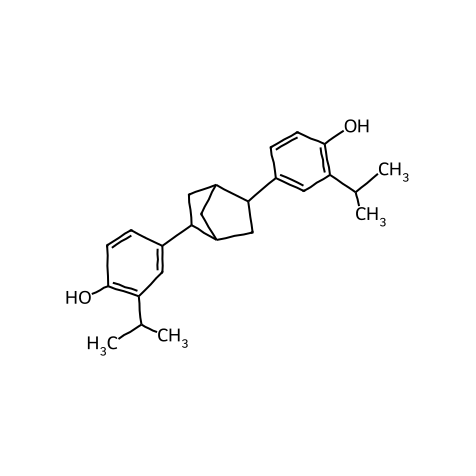 CC(C)c1cc(C2CC3CC2CC3c2ccc(O)c(C(C)C)c2)ccc1O